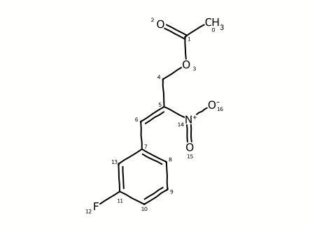 CC(=O)OCC(=Cc1cccc(F)c1)[N+](=O)[O-]